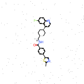 Cc1ncc(-c2ccc(C(=O)N[C@H](C)[C@H]3CC[C@H](c4ccnc5ccc(F)cc54)CC3)cc2)s1